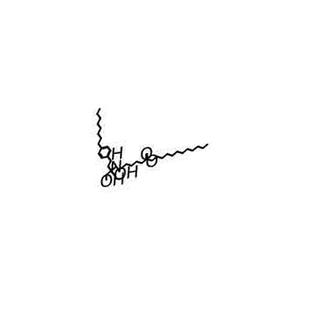 CCCCCCCCCCCOC(=O)CCCCCNC(CO)(CO)CCc1ccc(CCCCCCCC)cc1